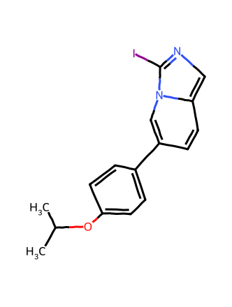 CC(C)Oc1ccc(-c2ccc3cnc(I)n3c2)cc1